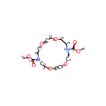 COC(=O)N1CCOCCOCCN(C(=O)OC)CCOCCOCC1